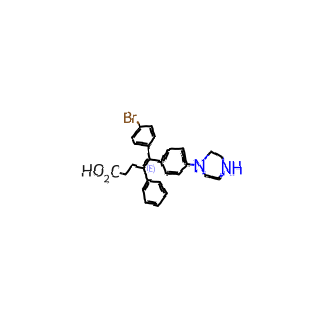 O=C(O)CC/C(=C(\c1ccc(Br)cc1)c1ccc(N2CCNCC2)cc1)c1ccccc1